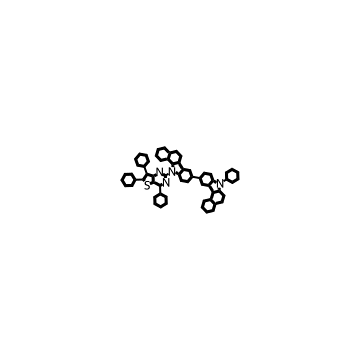 c1ccc(-c2sc3c(-c4ccccc4)nc(-n4c5ccc(-c6ccc7c(c6)c6c8ccccc8ccc6n7-c6ccccc6)cc5c5ccc6ccccc6c54)nc3c2-c2ccccc2)cc1